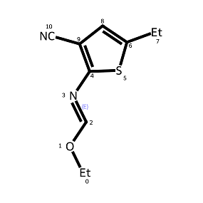 CCO/C=N/c1sc(CC)cc1C#N